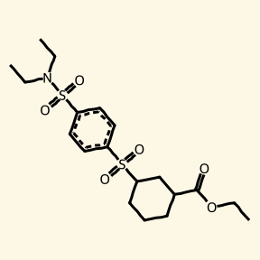 CCOC(=O)C1CCCC(S(=O)(=O)c2ccc(S(=O)(=O)N(CC)CC)cc2)C1